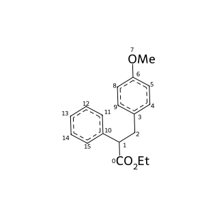 CCOC(=O)C(Cc1ccc(OC)cc1)c1ccccc1